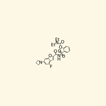 CCN(CC)C(=O)Oc1ccccc1S(=O)(=O)NC(=O)c1cc2c(F)cc(N3CCC3)cc2o1